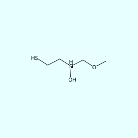 COC[SiH](O)CCS